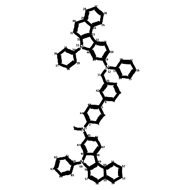 CN(c1ccc(-c2cccc(CN(c3ccccc3)c3ccc4c5c6ccccc6ccc5n(-c5ccccc5)c4c3)c2)cc1)c1ccc2c3c4ccccc4ccc3n(-c3ccccc3)c2c1